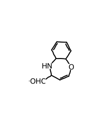 O=[C]C1C=COC2C=CC=CC2N1